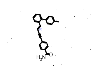 Cc1ccc(-c2ccccc2/C=C/C#Cc2ccc(C(N)=O)cc2)cc1